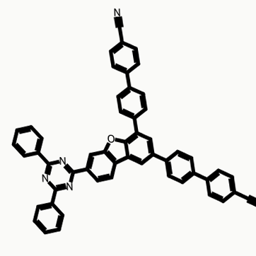 N#Cc1ccc(-c2ccc(-c3cc(-c4ccc(-c5ccc(C#N)cc5)cc4)c4oc5cc(-c6nc(-c7ccccc7)nc(-c7ccccc7)n6)ccc5c4c3)cc2)cc1